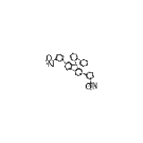 c1cc(C2=NCCO2)cc(-c2ccc3c(c2)C2(c4ccccc4-c4ccccc42)c2cc(-c4cccc(C5=NCCO5)c4)ccc2-3)c1